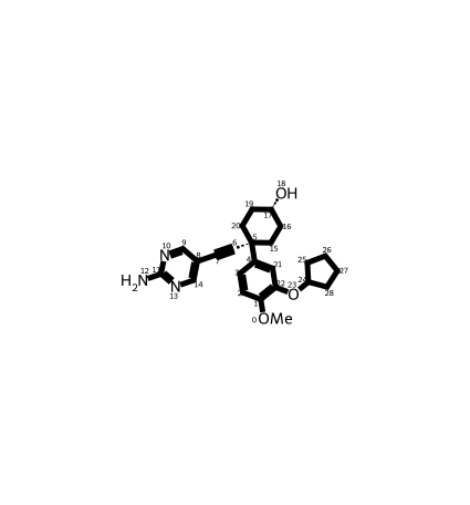 COc1ccc([C@]2(C#Cc3cnc(N)nc3)CC[C@@H](O)CC2)cc1OC1CCCC1